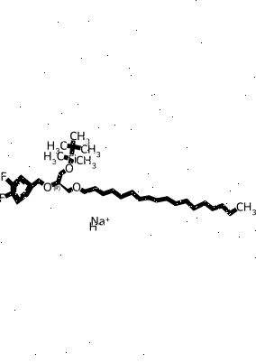 CCCCCCCCCCCCCCCCCCOC[C@H](CO[Si](C)(C)C(C)(C)C)OCc1ccc(F)c(F)c1.[H-].[Na+]